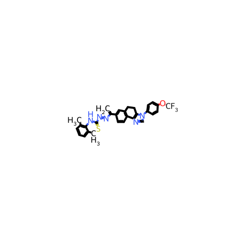 C=C(N=NC(=S)Nc1c(C)cccc1C)c1ccc2c(c1)CCc1c-2ncn1-c1ccc(OC(F)(F)F)cc1